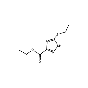 CCOC(=O)c1n[nH]c(SCC)n1